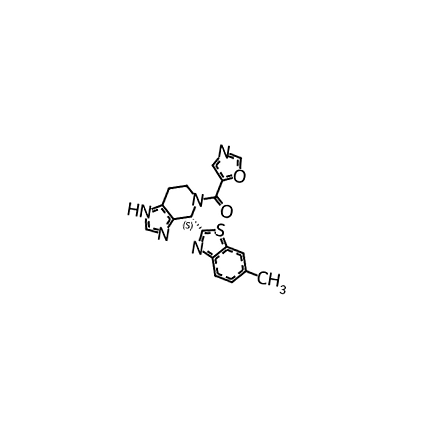 Cc1ccc2nc([C@@H]3c4nc[nH]c4CCN3C(=O)c3cnco3)sc2c1